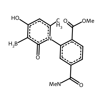 Bc1c(O)cc(C)n(-c2cc(C(=O)NC)ccc2C(=O)OC)c1=O